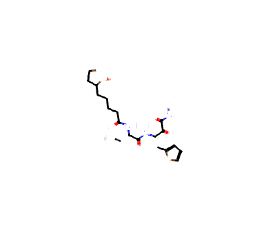 CCNC(=O)C(=O)[C@H](Cc1cccs1)NC(=O)[C@H](CC(C)C)NC(=O)CCCCC1CCS[S+]1[O-]